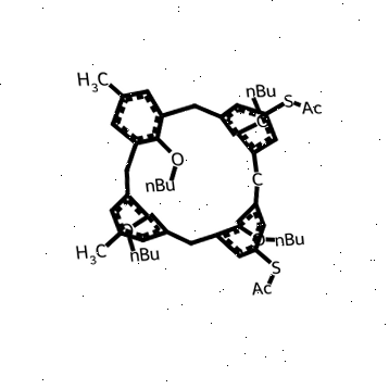 CCCCOc1c2cc(C)cc1Cc1cc(SC(C)=O)cc(c1OCCCC)Cc1cc(SC(C)=O)cc(c1OCCCC)Cc1cc(C)cc(c1OCCCC)C2